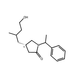 CC(CCO)C[C@H]1CC(=O)N(C(C)c2ccccc2)C1